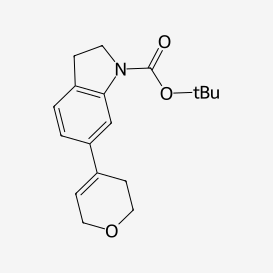 CC(C)(C)OC(=O)N1CCc2ccc(C3=CCOCC3)cc21